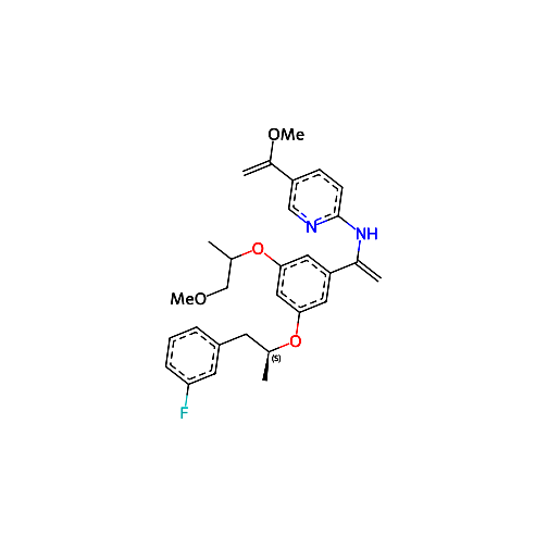 C=C(Nc1ccc(C(=C)OC)cn1)c1cc(OC(C)COC)cc(O[C@@H](C)Cc2cccc(F)c2)c1